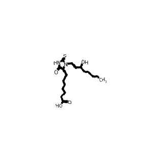 CCCCCC(O)CCN1C(=S)NC(=O)C1CCCCCCC(=O)O